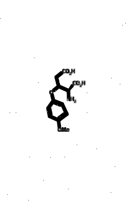 COc1ccc(OC(CC(=O)O)[C@H](N)C(=O)O)cc1